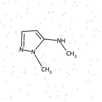 CNc1ccnn1C